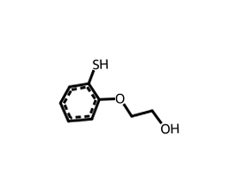 OCCOc1ccccc1S